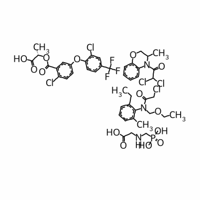 CC1COc2ccccc2N1C(=O)C(Cl)Cl.CCOCN(C(=O)CCl)c1c(C)cccc1CC.C[C@H](OC(=O)c1cc(Oc2ccc(C(F)(F)F)cc2Cl)ccc1Cl)C(=O)O.O=C(O)CNCP(=O)(O)O